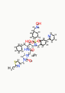 Cc1nc(CN2CCN([C@H](C(=O)N[C@@H](Cc3ccccc3)[C@H](O)CN(Cc3ccc(-c4ccccn4)cc3)S(=O)(=O)c3ccc(C=NO)cc3)C(C)C)C2=O)cs1